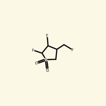 O=S1(=O)CC(CF)C(F)C1F